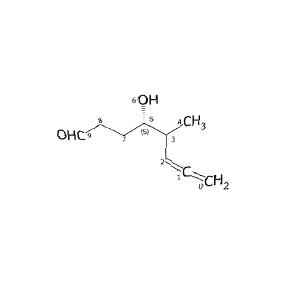 C=C=CC(C)[C@@H](O)CCC=O